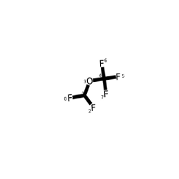 FC(F)OC(F)(F)F